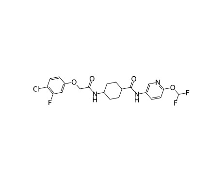 O=C(COc1ccc(Cl)c(F)c1)NC1CCC(C(=O)Nc2ccc(OC(F)F)nc2)CC1